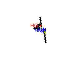 CCCCCCCCSC1=NC(Nc2cc(C(C)(C)C)c(O)c(C(C)(C)C)c2)N(SCCCCCCCC)C=N1